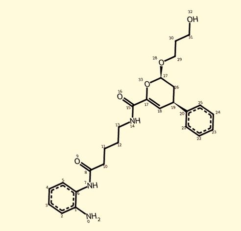 Nc1ccccc1NC(=O)CCCCNC(=O)C1=C[C@H](c2ccccc2)C[C@H](OCCCO)O1